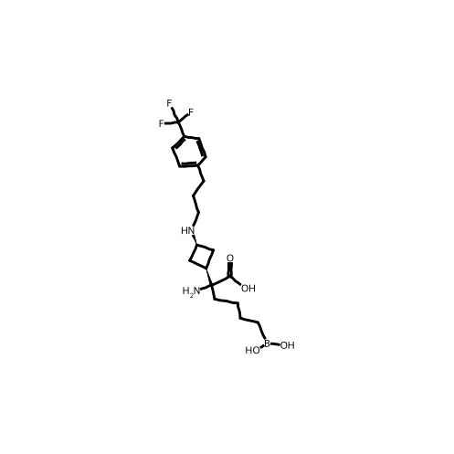 NC(CCCCB(O)O)(C(=O)O)[C@H]1C[C@@H](NCCCc2ccc(C(F)(F)F)cc2)C1